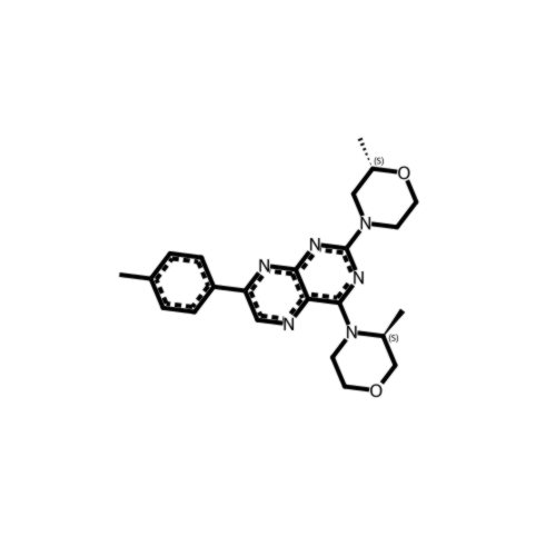 Cc1ccc(-c2cnc3c(N4CCOC[C@@H]4C)nc(N4CCO[C@@H](C)C4)nc3n2)cc1